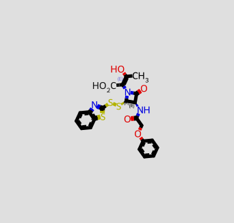 C/C(O)=C(/C(=O)O)N1C(=O)[C@@H](NC(=O)COc2ccccc2)[C@H]1SSc1nc2ccccc2s1